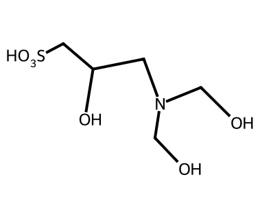 O=S(=O)(O)CC(O)CN(CO)CO